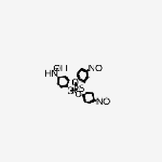 O=NC1=CC=C(OP(=S)(Oc2ccc(N=O)cc2)Oc2ccc(NO)cc2)CC1